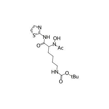 CC(=O)N(O)C(CCCCNC(=O)OC(C)(C)C)C(=O)Nc1nccs1